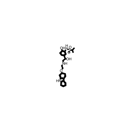 CC(C)S(=O)(=O)Nc1cc(C(O)CNCCOc2ccc3c(c2)[nH]c2ccccc23)ccc1O